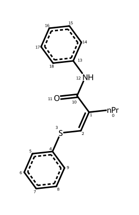 CCCC(=CSc1ccccc1)C(=O)Nc1ccccc1